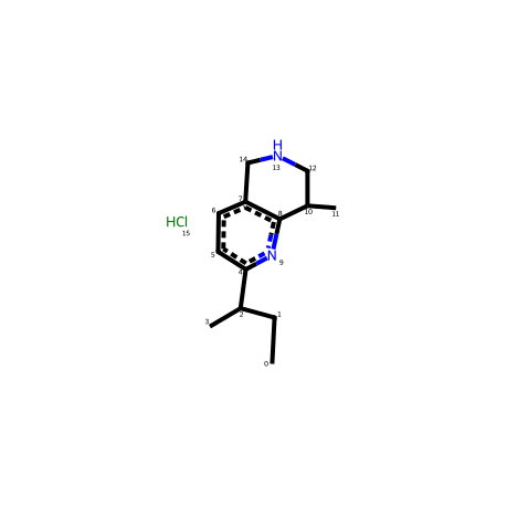 CCC(C)c1ccc2c(n1)C(C)CNC2.Cl